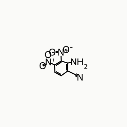 N#Cc1ccc([N+](=O)[O-])c([N+](=O)[O-])c1N